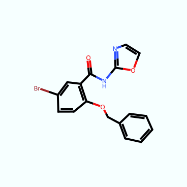 O=C(Nc1ncco1)c1cc(Br)ccc1OCc1ccccc1